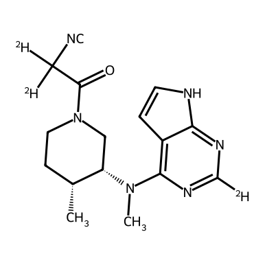 [2H]c1nc(N(C)[C@H]2CN(C(=O)C([2H])([2H])[N+]#[C-])CC[C@H]2C)c2cc[nH]c2n1